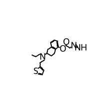 CCCN(CCc1cccs1)C1CCc2c(cccc2OC(=O)CN=N)C1